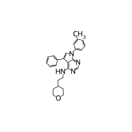 Cc1cccc(-n2cc(-c3ccccc3)c3c(NCCC4CCOCC4)ncnc32)c1